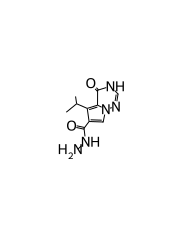 CC(C)c1c(C(=O)NN)cn2nc[nH]c(=O)c12